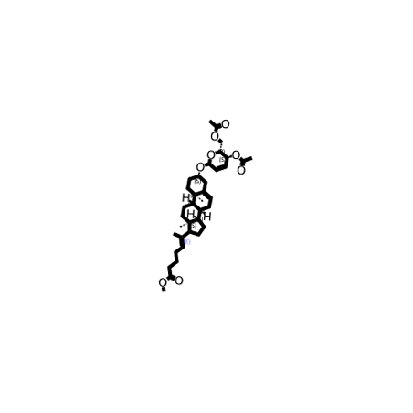 COC(=O)CCC/C=C(\C)C1CC[C@H]2[C@@H]3CC=C4C[C@@H](OC5C=C[C@H](OC(C)=O)[C@@H](COC(C)=O)O5)CC[C@]4(C)[C@H]3CC[C@]12C